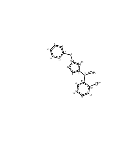 OC(c1ccn(Cc2ccccc2)n1)c1cnccc1Cl